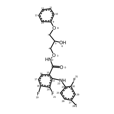 O=C(NOCC(O)COc1ccccc1)c1ccc(F)c(F)c1Nc1ccc(I)cc1F